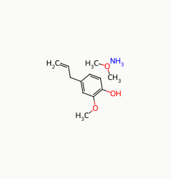 C=CCc1ccc(O)c(OC)c1.COC.N